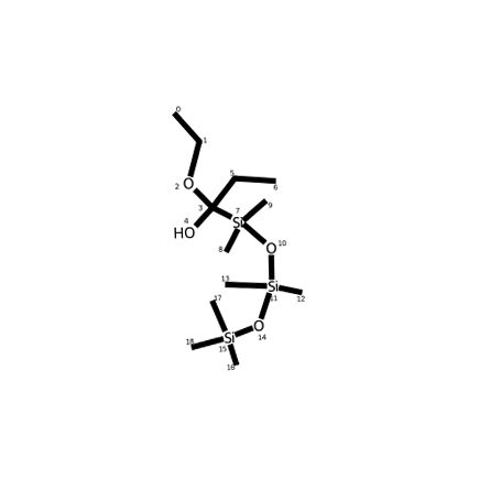 CCOC(O)(CC)[Si](C)(C)O[Si](C)(C)O[Si](C)(C)C